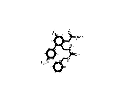 CCN(Cc1c(CC(=O)OC)cc(C(F)(F)F)cc1-c1ccc(C(F)(F)F)cc1)C(=O)OCc1ccccc1